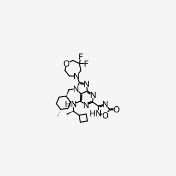 C[C@@H](Nc1nc(-c2nc(=O)o[nH]2)nc2nc(N3CCOCC(F)(F)C3)n(C[C@H]3CC[C@H](C)CC3)c12)C1CCC1